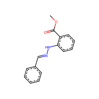 COC(=O)c1ccccc1NN=Cc1ccccc1